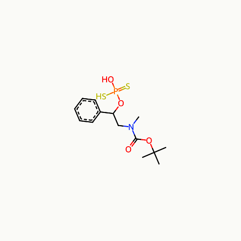 CN(CC(OP(O)(=S)S)c1ccccc1)C(=O)OC(C)(C)C